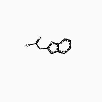 NC(=O)Cc1cc2ccccc2o1